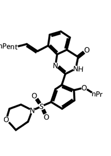 CCCCCC=Cc1cccc2c(=O)[nH]c(-c3cc(S(=O)(=O)N4CCOCC4)ccc3OCCC)nc12